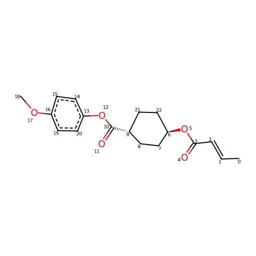 CC=CC(=O)O[C@H]1CC[C@H](C(=O)Oc2ccc(OC)cc2)CC1